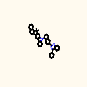 CC1(C)c2cc3c(cc2-c2ccc4ccccc4c21)c1ccccc1n3-c1cccc2cc(-c3nc(-c4ccccc4)c4ccccc4n3)ccc12